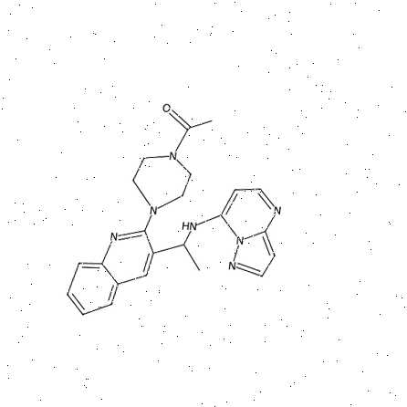 CC(=O)N1CCN(c2nc3ccccc3cc2C(C)Nc2ccnc3ccnn23)CC1